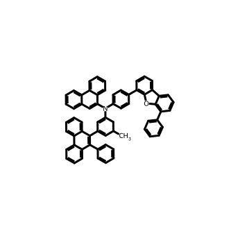 CC1C=C(c2c(-c3ccccc3)c3ccccc3c3ccccc23)C=C(N(c2ccc(-c3cccc4c3oc3c(-c5ccccc5)cccc34)cc2)c2cc3ccccc3c3ccccc23)C1